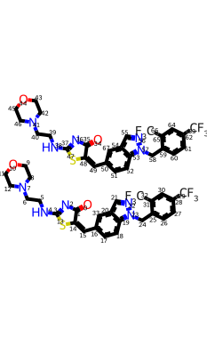 O=C1N=C(NCCN2CCOCC2)SC1=Cc1ccc2c(cnn2Cc2ccc(C(F)(F)F)cc2C(F)(F)F)c1.O=C1N=C(NCCN2CCOCC2)SC1=Cc1ccc2c(cnn2Cc2ccc(C(F)(F)F)cc2C(F)(F)F)c1